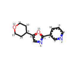 c1cncc(-c2ncc(C3CCOCC3)o2)c1